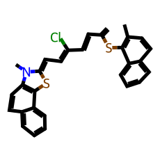 C=C(/C=C/C(Cl)=C/C=C1\Sc2c(ccc3ccccc23)N1C)Sc1c(C)ccc2ccccc12